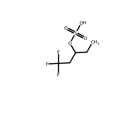 CCC(CC(F)(F)F)OS(=O)(=O)O